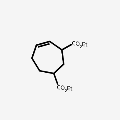 CCOC(=O)C1C=CCCC(C(=O)OCC)C1